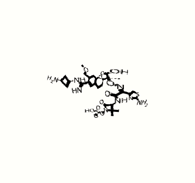 COCc1cc2c(cc1C(=N)N[C@H]1C[C@@H](N)C1)CC[C@H]([C@](C)(O/N=C(\C(=O)N[C@@H]1C(=O)N(OS(=O)(=O)O)C1(C)C)c1csc(N)n1)C(=O)O)O2